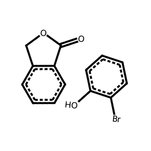 O=C1OCc2ccccc21.Oc1ccccc1Br